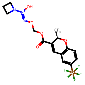 O=C(OCO/N=[N+](\O)N1CCC1)C1=Cc2cc(S(F)(F)(F)(F)F)ccc2O[C@@H]1C(F)(F)F